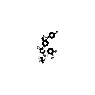 COc1cc([C@@H]2[C@@H](NC(=O)C(C)(F)F)CC(=O)N2c2ccc3c(cnn3-c3ccc(F)cc3)c2)ccc1F